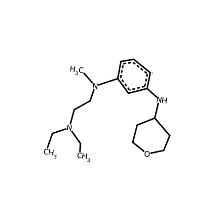 CCN(CC)CCN(C)c1cc[c]c(NC2CCOCC2)c1